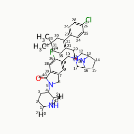 [2H]C1CCC(N2Cc3cc(CN4CC5CCC(C4)N5CCC4=C(c5ccc(Cl)cc5)CC(C)(C)CC4)c(F)cc3C2=O)C([2H])N1